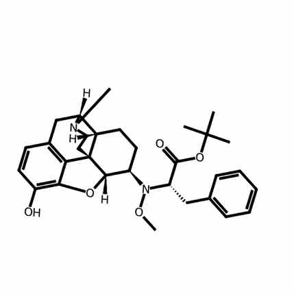 CON([C@@H]1CC[C@H]2[C@H]3Cc4ccc(O)c5c4[C@@]2(CCN3C)[C@H]1O5)[C@@H](Cc1ccccc1)C(=O)OC(C)(C)C